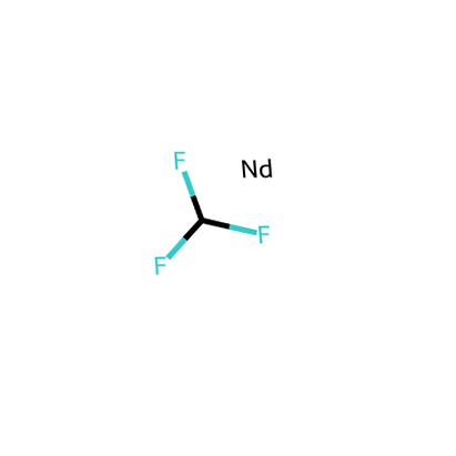 FC(F)F.[Nd]